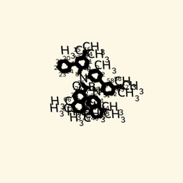 Cc1cc2c3c(c1)N(Cc1ccc(C(C)(C)C)cc1-c1ccccc1)c1oc4cc5c(cc4c1B3N(c1ccc3c(c1)C(C)(C)CCC3(C)C)c1ccc(C(C)(C)C)cc1-2)C(C)(C)CCC5(C)C